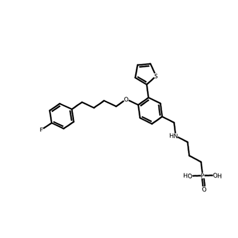 O=P(O)(O)CCCNCc1ccc(OCCCCc2ccc(F)cc2)c(-c2cccs2)c1